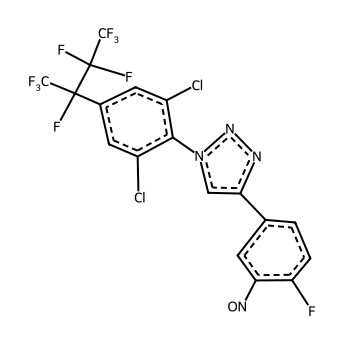 O=Nc1cc(-c2cn(-c3c(Cl)cc(C(F)(C(F)(F)F)C(F)(F)C(F)(F)F)cc3Cl)nn2)ccc1F